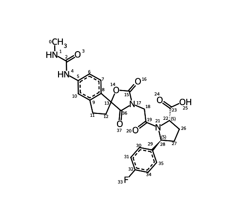 CNC(=O)Nc1ccc2c(c1)CCC21OC(=O)N(CC(=O)N2[C@H](C(=O)O)CC[C@H]2c2ccc(F)cc2)C1=O